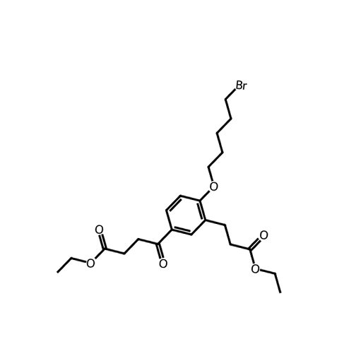 CCOC(=O)CCC(=O)c1ccc(OCCCCCBr)c(CCC(=O)OCC)c1